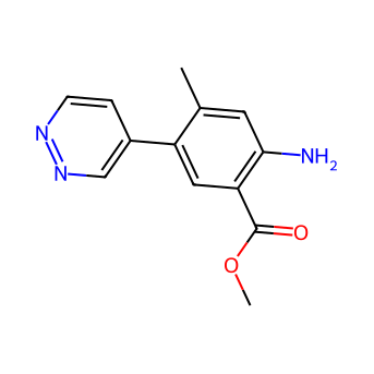 COC(=O)c1cc(-c2ccnnc2)c(C)cc1N